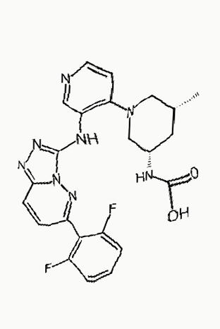 C[C@@H]1C[C@H](NC(=O)O)CN(c2ccncc2Nc2nnc3ccc(-c4c(F)cccc4F)nn23)C1